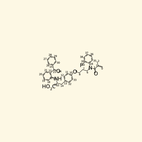 C=C(C)C(=O)N(CCCOc1ccc(CC(Nc2ccccc2C(=O)c2ccccc2)C(=O)O)cc1)c1ccccc1F